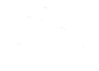 CC1(C)c2cc3c4ccccc4c4ccccc4c3cc2-c2ccc3c4ccccc4n(-c4cccc(B5OC(C)(C)C(C)(C)O5)c4)c3c21